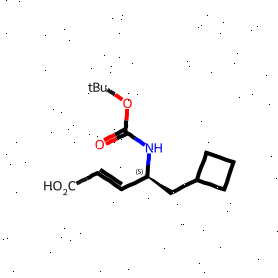 CC(C)(C)OC(=O)N[C@H](C=CC(=O)O)CC1CCC1